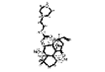 C=C[C@@]1(C)CC(=O)[C@]2(O)[C@@]3(C)[C@@H](O)CCC(C)(C)[C@@H]3[C@H](O)[C@H](OC(=O)NCCN3CCOCC3)[C@@]2(C)O1